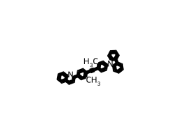 Cc1cc(-c2ccc3ccccc3n2)ccc1C#Cc1ccc(-n2c3ccccc3c3ccccc32)cc1C